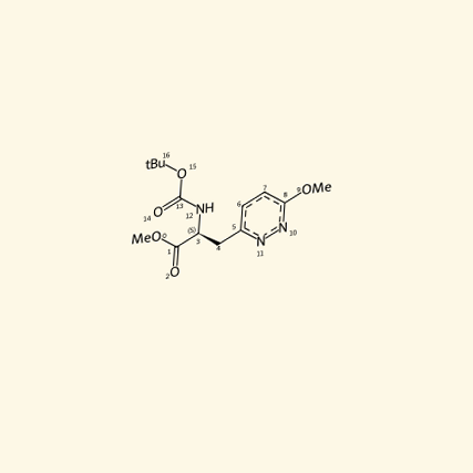 COC(=O)[C@H](Cc1ccc(OC)nn1)NC(=O)OC(C)(C)C